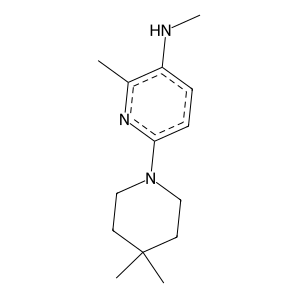 CNc1ccc(N2CCC(C)(C)CC2)nc1C